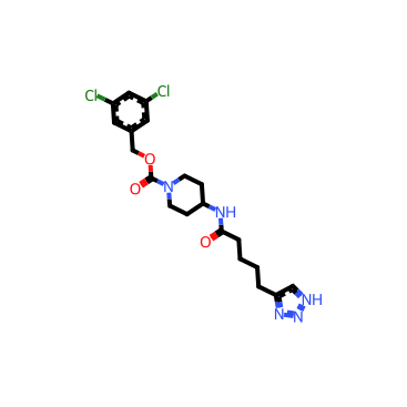 O=C(CCCCc1c[nH]nn1)NC1CCN(C(=O)OCc2cc(Cl)cc(Cl)c2)CC1